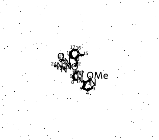 COc1ncccc1-n1ccc(OCc2c(C)cccc2-n2nnn(C)c2=O)n1